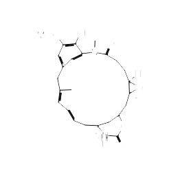 COc1cc2cc(c1Cl)N(C)C(=O)CC[C@@H]1O[C@H]1CC1C[C@](O)(C/C=C/C=C(\C)C2)NC(=O)O1